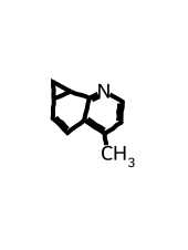 Cc1ccnc2c1C=CC1CC21